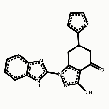 Cc1nn(-c2nc3ccccc3[nH]2)c2c1C(=O)CC(c1cccs1)C2